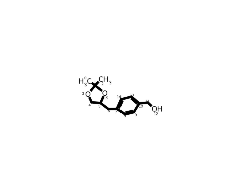 CC1(C)OCC(Cc2ccc(CO)cc2)O1